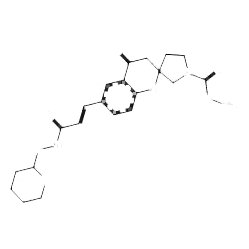 CC(C)(C)OC(=O)N1CCC2(CC(=O)c3cc(/C=C/C(=O)NOC4CCCCO4)ccc3O2)C1